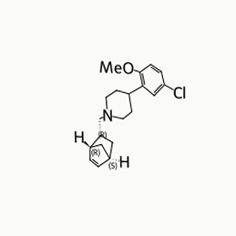 COc1ccc(Cl)cc1C1CCN(C[C@@H]2C[C@H]3C=C[C@H]2C3)CC1